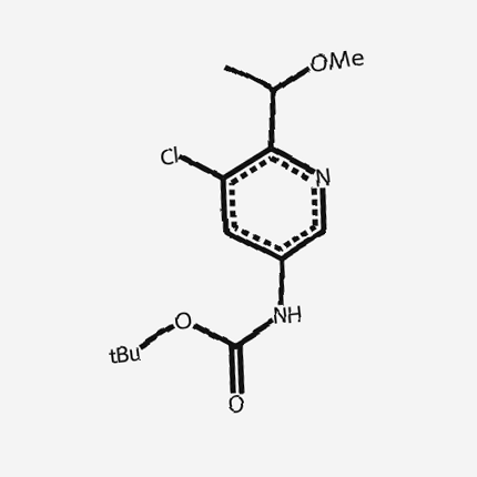 COC(C)c1ncc(NC(=O)OC(C)(C)C)cc1Cl